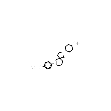 COc1ccc(N2CCCC3(CCN([C@H]4CC[C@H](O)CC4)C3=O)C2)cc1